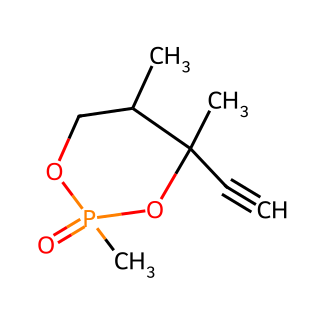 C#CC1(C)OP(C)(=O)OCC1C